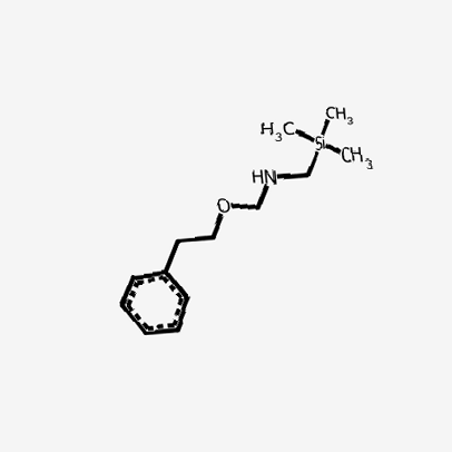 C[Si](C)(C)CNCOCCc1ccccc1